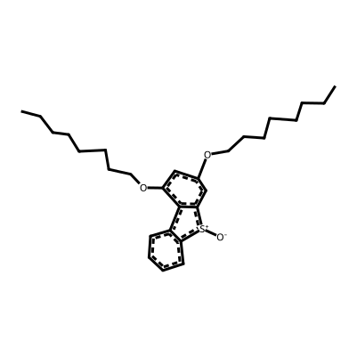 CCCCCCCCOc1cc(OCCCCCCCC)c2c3ccccc3[s+]([O-])c2c1